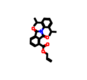 C=CCOC(=O)c1cccc2c1C(=O)N(c1c(C(C)C)cccc1C(C)C)C2=O